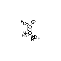 O=C1NCc2c(-c3cnc4cc(F)ccn34)ccc(Nc3ccc([C@@H]4CCOC4)c(CC4CC[C@@H](F)C4)n3)c21